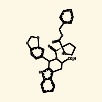 O=C(O)C1Cc2c([nH]c3ccccc23)C(c2ccc3c(c2)OCO3)N1C(=O)[C@]1(C(=O)OCc2ccccc2)CCCN1